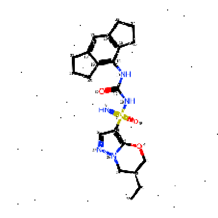 CC[C@@H]1COc2c(S(=N)(=O)NC(=O)Nc3c4c(cc5c3CCC5)CCC4)cnn2C1